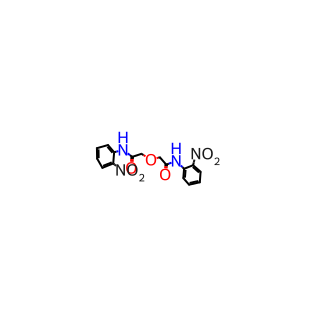 O=C(COCC(=O)Nc1ccccc1[N+](=O)[O-])Nc1ccccc1[N+](=O)[O-]